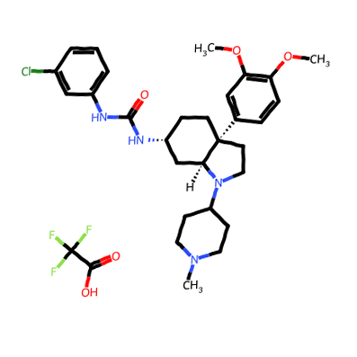 COc1ccc([C@@]23CC[C@@H](NC(=O)Nc4cccc(Cl)c4)C[C@@H]2N(C2CCN(C)CC2)CC3)cc1OC.O=C(O)C(F)(F)F